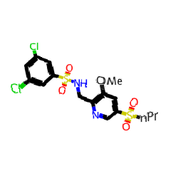 CCCS(=O)(=O)c1cnc(CNS(=O)(=O)c2cc(Cl)cc(Cl)c2)c(OC)c1